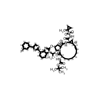 CC(C)n1c(O[C@@H]2C[C@H]3C(=O)N[C@]4(C(=O)NS(=O)(=O)C5(C)CC5)C[C@H]4/C=C\CCCCC[C@H](NC(=O)OC(C)(C)C)C(=O)N3C2)nc2c(-c3nc(-c4cccc(F)c4)cs3)cccc21